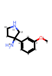 COc1cccc(C2(N)CCNC2)c1